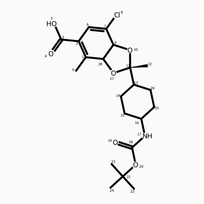 CC1=C(C(=O)O)C=C(Cl)C2O[C@](C)(C3CCC(NC(=O)OC(C)(C)C)CC3)OC12